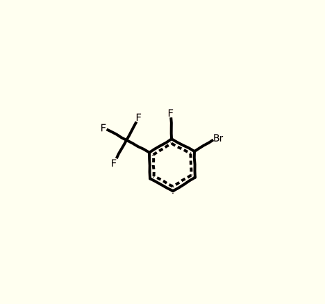 Fc1c(Br)c[c]cc1C(F)(F)F